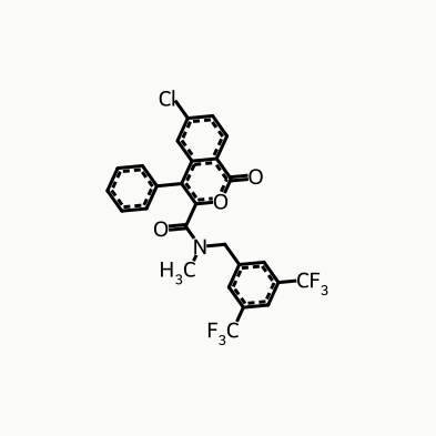 CN(Cc1cc(C(F)(F)F)cc(C(F)(F)F)c1)C(=O)c1oc(=O)c2ccc(Cl)cc2c1-c1ccccc1